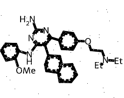 CCN(CC)CCOc1ccc(-c2nc(N)nc(Nc3ccccc3OC)c2-c2ccc3ccccc3c2)cc1